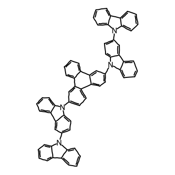 c1ccc2c(c1)c1cc(-n3c4ccccc4c4cc(-n5c6ccccc6c6ccccc65)ccc43)ccc1c1ccc(-n3c4ccccc4c4cc(-n5c6ccccc6c6ccccc65)ccc43)cc21